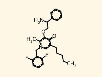 CCCCCc1cn(Cc2c(F)cccc2F)c(C)c(OCC(N)c2ccccc2)c1=O